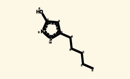 CCCCCc1cc(O)ns1